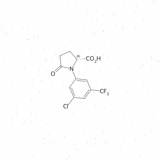 O=C(O)[C@H]1CCC(=O)N1c1cc(Cl)cc(C(F)(F)F)c1